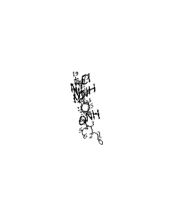 CCCCC(CC)C(=O)Nc1ccc(-c2nn3nc(C)c(Cl)c3[nH]2)cc1